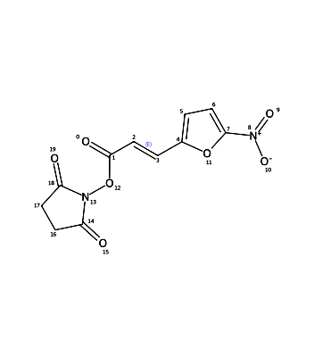 O=C(/C=C/c1ccc([N+](=O)[O-])o1)ON1C(=O)CCC1=O